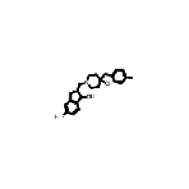 Cc1ccc(CC2(O)CCN(CC3Cc4cc(O)ccc4C3O)CC2)cc1